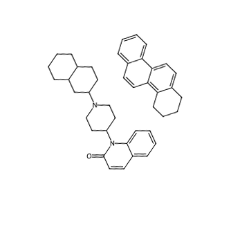 O=c1ccc2ccccc2n1C1CCN(C2CCC3CCCCC3C2)CC1.c1ccc2c(c1)ccc1c3c(ccc12)CCCC3